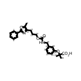 Cc1oc(-c2ccccc2)nc1CCCOC(=O)NCc1cccc(OC(C)(C)C(=O)O)c1